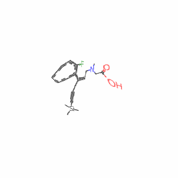 CN(C/C=C(/C#C[Si](C)(C)C)c1ccccc1F)CC(=O)O